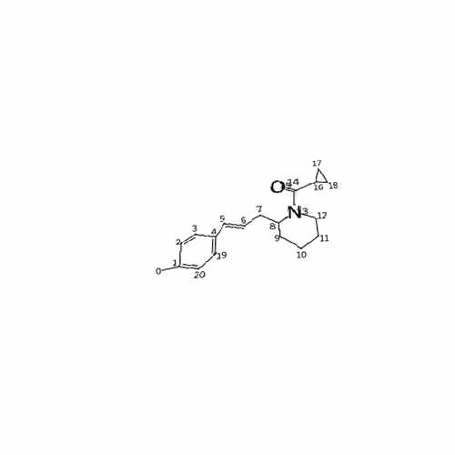 Cc1ccc(C=CCC2CCCCN2C(=O)C2CC2)cc1